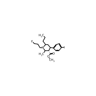 CCCC1CC(c2ccc(I)cc2)[C@H](C(=O)OC)C(C)N1CCCF